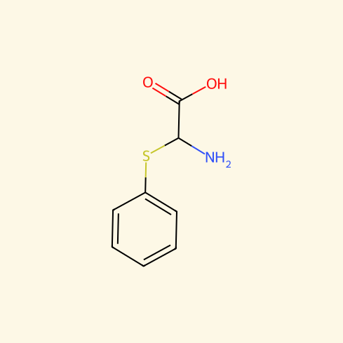 NC(Sc1ccccc1)C(=O)O